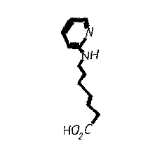 O=C(O)CCCCCCNc1ccccn1